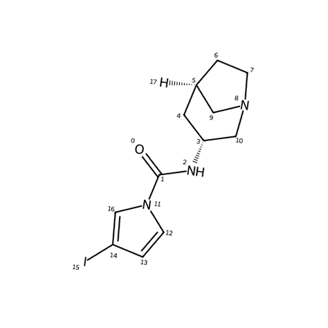 O=C(N[C@@H]1C[C@H]2CCN(C2)C1)n1ccc(I)c1